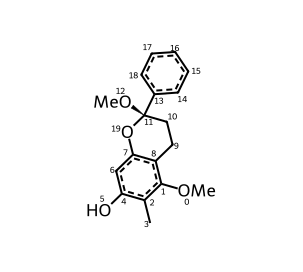 COc1c(C)c(O)cc2c1CC[C@@](OC)(c1ccccc1)O2